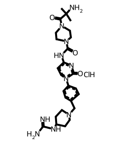 CC(C)(N)C(=O)N1CCN(C(=O)Nc2ccn(-c3ccc(CN4CCC(NC(=N)N)CC4)cc3)c(=O)n2)CC1.Cl